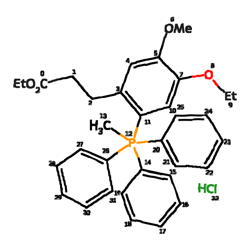 CCOC(=O)CCc1cc(OC)c(OCC)cc1P(C)(c1ccccc1)(c1ccccc1)c1ccccc1.Cl